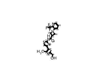 Cc1nc(CO)sc1-c1csc(NC(=O)C2CN(c3cccnc3C(F)(F)F)C2)n1